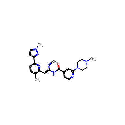 C=N/C(=C\c1nc(-c2ccn(C)n2)ccc1C)NC(=O)c1ccnc(N2CCN(C)CC2)c1